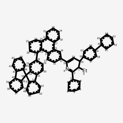 CCC1C(c2ccccc2)=NC(c2ccc3c(c2)c2ccccc2c2cccc(-c4ccc5c(c4)C4(c6ccccc6-c6ccccc64)c4ccccc4-5)c23)=CC1c1ccc(-c2ccccc2)cc1